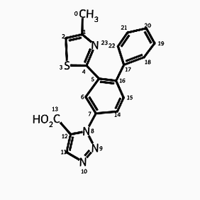 Cc1csc(-c2cc(-n3nncc3C(=O)O)ccc2-c2ccccc2)n1